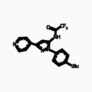 CC(C)(C)c1ccc(-n2nc(-c3ccncc3)cc2NC(=O)C(F)(F)F)cc1